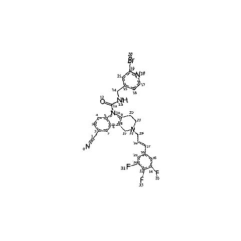 N#Cc1ccc2c(c1)c1c(n2C(=O)NCc2ccnc(Br)c2)CCN(CC=Cc2cc(F)c(F)c(F)c2)C1